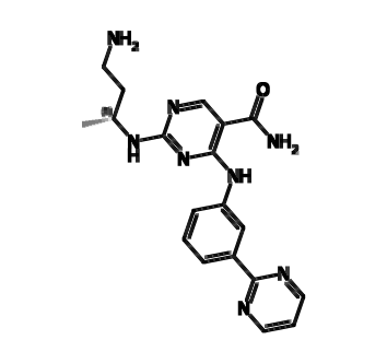 C[C@H](CCN)Nc1ncc(C(N)=O)c(Nc2cccc(-c3ncccn3)c2)n1